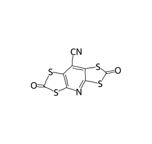 N#Cc1c2sc(=O)sc2nc2sc(=O)sc12